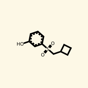 O=S(=O)(CC1CCC1)c1cccc(O)c1